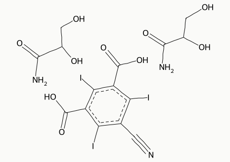 N#Cc1c(I)c(C(=O)O)c(I)c(C(=O)O)c1I.NC(=O)C(O)CO.NC(=O)C(O)CO